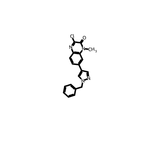 Cn1c(=O)c(Cl)nc2ccc(-c3cnn(Cc4ccccc4)c3)cc21